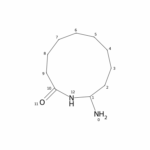 NC1CCCCCCCCC(=O)N1